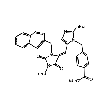 CCCCc1ncc(/C=C2/C(=O)N(CCCC)C(=O)N2Cc2ccc3ccccc3c2)n1Cc1ccc(C(=O)OC)cc1